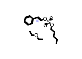 CCCCCOS(=O)(=O)O/C=C/c1ccccc1.CCOCC